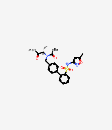 CCCCC(=O)N(Cc1ccc(-c2ccccc2S(=O)(=O)Nc2cc(C)on2)cc1)[C@H](C(=O)NC)C(C)C